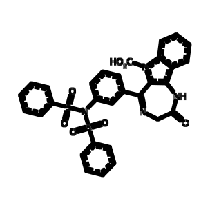 O=C1CN=C(c2cccc(N(S(=O)(=O)c3ccccc3)S(=O)(=O)c3ccccc3)c2)c2c(c3ccccc3n2C(=O)O)N1